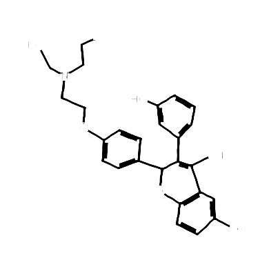 CCN(CCF)CCOc1ccc(C2Oc3ccc(O)cc3C(C)=C2c2cccc(O)c2)cc1